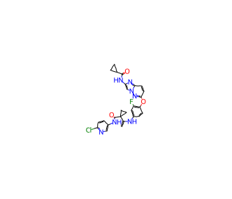 C=C(Nc1ccc(Oc2ccc3nc(NC(=O)C4CC4)cn3n2)c(F)c1)C1(C(=O)Nc2ccc(Cl)nc2)CC1